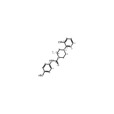 CCCCc1ccc(NC(=S)N2CCN(c3ncccc3Cl)C[C@H]2C)cc1